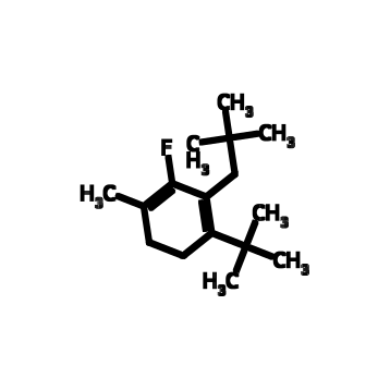 CC1=C(F)C(CC(C)(C)C)=C(C(C)(C)C)CC1